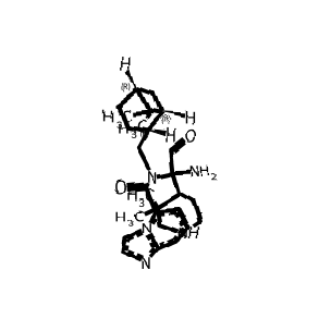 CC1(C)CNCCC1C(N)(C=O)N(C[C@@H]1CC[C@@H]2C[C@H]1C2(C)C)C(=O)c1cccc2nccn12